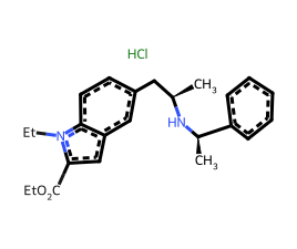 CCOC(=O)c1cc2cc(C[C@@H](C)N[C@H](C)c3ccccc3)ccc2n1CC.Cl